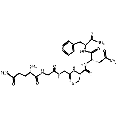 NC(=O)CC[C@H](N)C(=O)NCC(=O)NCC(=O)N[C@@H](CO)C(=O)N[C@@H](CC(N)=O)C(=O)N[C@@H](Cc1ccccc1)C(N)=O